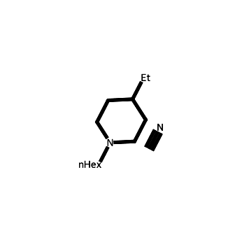 C#N.CCCCCCN1CCC(CC)CC1